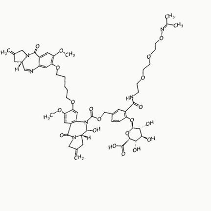 C=C1C[C@H]2C=Nc3cc(OCCCCCOc4cc5c(cc4OC)C(=O)N4CC(=C)C[C@H]4C(O)N5C(=O)OCc4ccc(O[C@@H]5O[C@H](C(=O)O)[C@@H](O)[C@H](O)[C@H]5O)c(C(=O)NCCOCCOCCON=C(C)C)c4)c(OC)cc3C(=O)N2C1